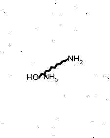 NCCCCCCCCCC(N)CCO